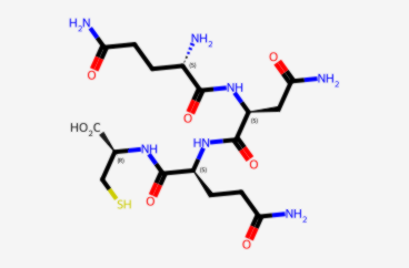 NC(=O)CC[C@H](NC(=O)[C@H](CC(N)=O)NC(=O)[C@@H](N)CCC(N)=O)C(=O)N[C@@H](CS)C(=O)O